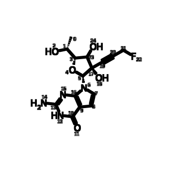 C[C@@H](O)[C@H]1O[C@@H](n2ccc3c(=O)[nH]c(N)nc32)[C@@](O)(C#CCF)C1O